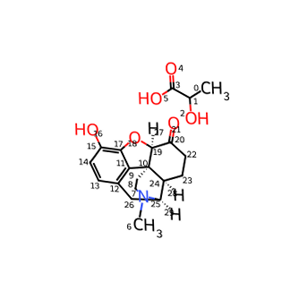 CC(O)C(=O)O.CN1CC[C@]23c4c5ccc(O)c4O[C@H]2C(=O)CC[C@H]3[C@H]1C5